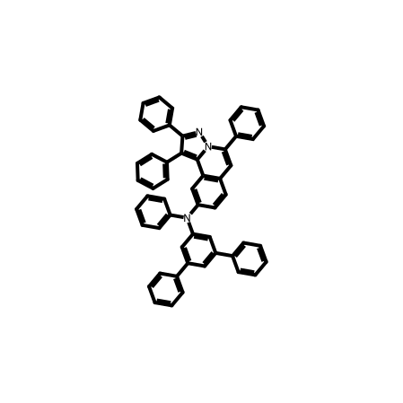 c1ccc(-c2cc(-c3ccccc3)cc(N(c3ccccc3)c3ccc4cc(-c5ccccc5)n5nc(-c6ccccc6)c(-c6ccccc6)c5c4c3)c2)cc1